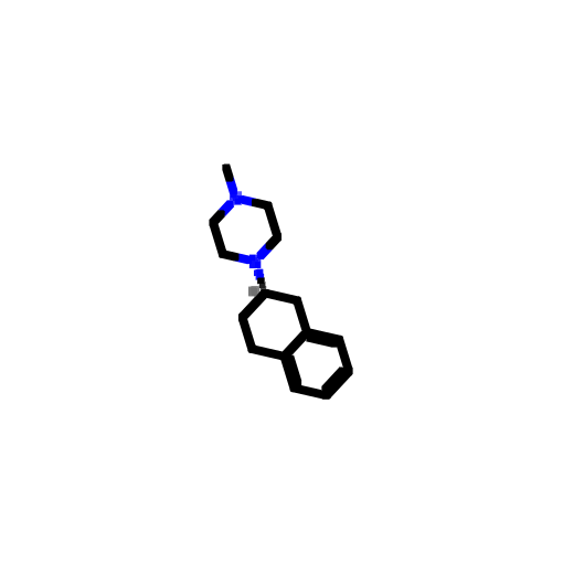 CN1CCN([C@H]2CCc3ccccc3C2)CC1